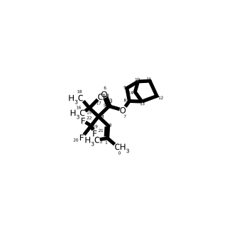 CC(C)=CC(C(=O)OC1CC2CCC1C2)(C(C)(C)C)C(F)(F)F